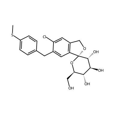 CSc1ccc(Cc2cc3c(cc2Cl)CO[C@]32O[C@H](CO)[C@@H](O)[C@H](O)[C@H]2O)cc1